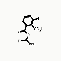 CCCCC(OC(=O)c1cccc(I)c1C(=O)O)C(C)C